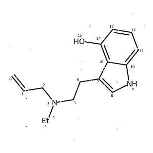 C=CCN(CC)CCc1c[nH]c2cccc(O)c12